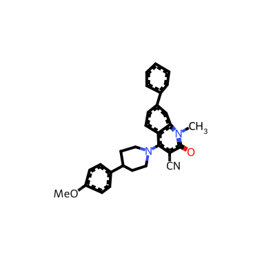 COc1ccc(C2CCN(c3c(C#N)c(=O)n(C)c4cc(-c5ccccc5)ccc34)CC2)cc1